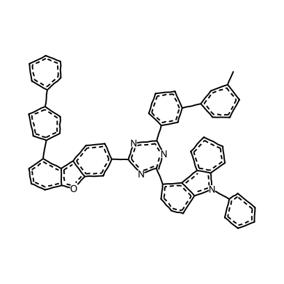 Cc1cccc(-c2cccc(-c3nc(-c4ccc5c(c4)oc4cccc(-c6ccc(-c7ccccc7)cc6)c45)nc(-c4cccc5c4c4ccccc4n5-c4ccccc4)n3)c2)c1